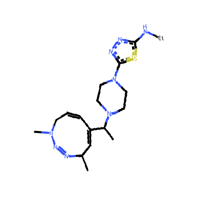 CCNc1nnc(N2CCN(C(C)C3=C/C(C)/N=N\N(C)C/C=C\3)CC2)s1